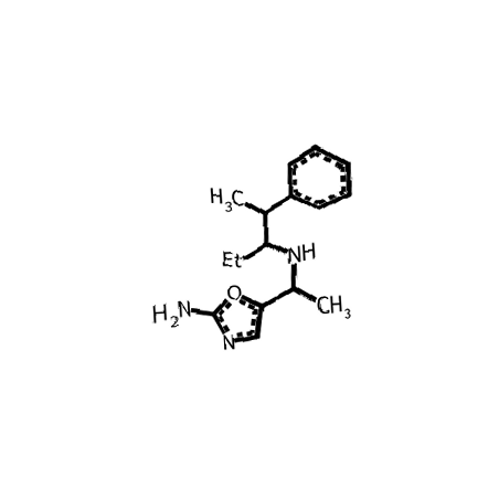 CCC(NC(C)c1cnc(N)o1)C(C)c1ccccc1